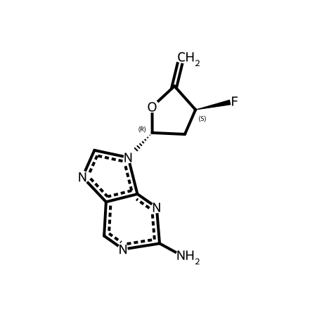 C=C1O[C@@H](n2cnc3cnc(N)nc32)C[C@@H]1F